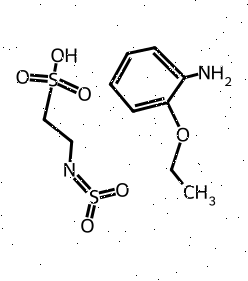 CCOc1ccccc1N.O=S(=O)=NCCS(=O)(=O)O